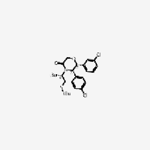 CC(C)(C)SC[C@@H](N1C(=O)CO[C@H](c2cccc(Cl)c2)[C@H]1c1ccc(Cl)cc1)C(C)(C)C